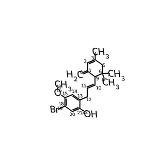 C=C1C=C(C)CC(C)(C)C1/C=C/Cc1cc(OC)c(Br)cc1O